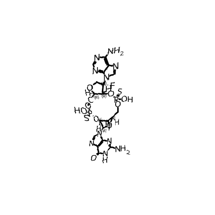 Nc1nc2c(ncn2[C@@H]2O[C@@H]3COP(O)(=S)O[C@@H]4[C@@H](COP(O)(=S)O[C@@H]2C3(F)F)OC[C@@]4(F)n2cnc3c(N)ncnc32)c(=O)[nH]1